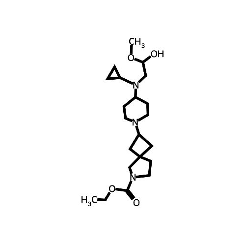 CCOC(=O)N1CCC2(CC(N3CCC(N(CC(O)OC)C4CC4)CC3)C2)C1